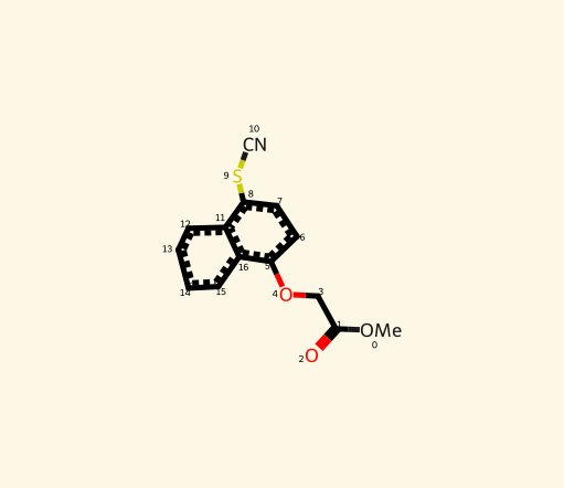 COC(=O)COc1ccc(SC#N)c2ccccc12